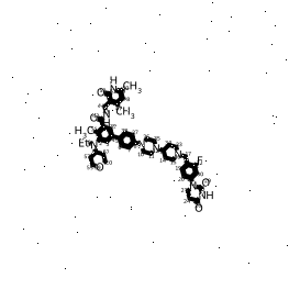 CCN(c1cc(-c2ccc(N3CCN(C4CCN(Cc5ccc(N6CCC(=O)NC6=O)cc5F)CC4)CC3)cc2)cc(C(=O)NCc2c(C)cc(C)[nH]c2=O)c1C)C1CCOCC1